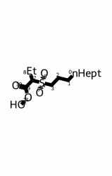 CCCCCCCCCCS(=O)(=O)C(CC)C(=O)OO